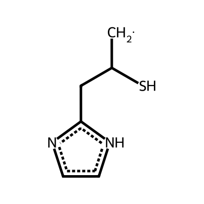 [CH2]C(S)Cc1ncc[nH]1